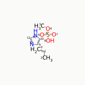 C=CC.COS(=O)(=O)O.c1c[nH]cn1